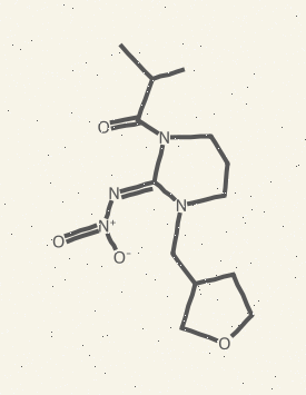 CC(C)C(=O)N1CCCN(CC2CCOC2)C1=N[N+](=O)[O-]